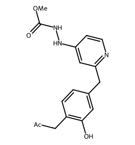 COC(=O)NNc1ccnc(Cc2ccc(CC(C)=O)c(O)c2)c1